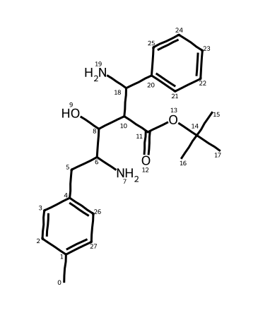 Cc1ccc(CC(N)C(O)C(C(=O)OC(C)(C)C)C(N)c2ccccc2)cc1